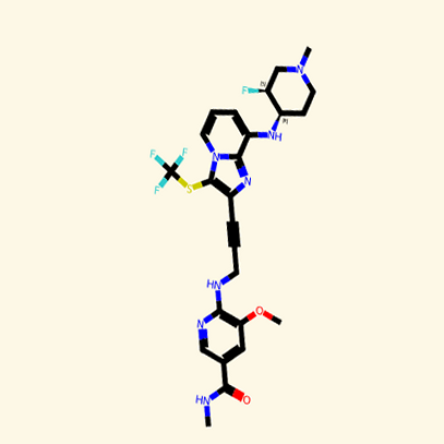 CNC(=O)c1cnc(NCC#Cc2nc3c(N[C@@H]4CCN(C)C[C@@H]4F)cccn3c2SC(F)(F)F)c(OC)c1